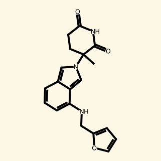 CC1(n2cc3cccc(NCc4ccco4)c3c2)CCC(=O)NC1=O